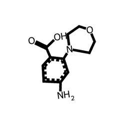 Nc1ccc(C(=O)O)c(N2CCOCC2)c1